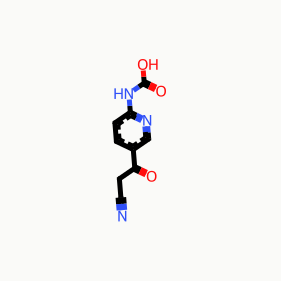 N#CCC(=O)c1ccc(NC(=O)O)nc1